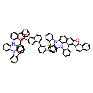 c1ccc(N(c2ccc3c(c2)sc2c(-c4cccc5c4ccc4c5oc5cccc(-c6ccccc6N(c6ccccc6-n6c7ccccc7c7ccccc76)c6cccc7c6oc6ccccc67)c54)cccc23)c2ccccc2-n2c3ccccc3c3ccccc32)c(-c2cccc3oc4c5ccccc5ccc4c23)c1